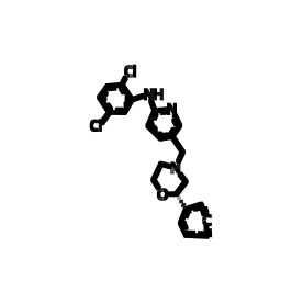 Clc1ccc(Cl)c(Nc2ccc(CN3CCO[C@@H](c4ccccc4)C3)cn2)c1